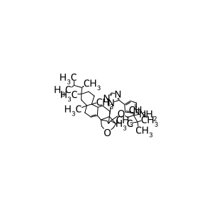 CC(C)[C@@H](C)C1(C)CCC2(C)C3CCC4C5(COCC4(C)C(OC[C@](C)(N)C(C)(C)C)C(n4ncnc4-c4ccncc4)C5)C3=CCC2(C)C1